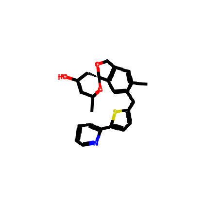 Cc1cc2c(cc1Cc1ccc(-c3ccccn3)s1)[C@]1(CC(O)CC(C)O1)OC2